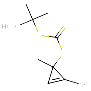 CC(C)(SC(=S)SC1(C)C=C1N=O)C(=O)O